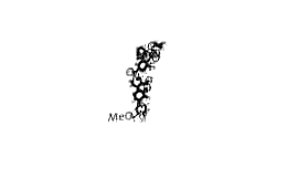 COC[C@H]1CN(c2ccc3c4c(c(=O)oc3c2C)CN(C(=O)c2cc(F)c(C(=O)NS(=O)(=O)C3(C)CC3)c(N3C5CCC3CC5)c2)CC4)CCN1C